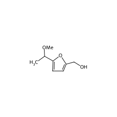 COC(C)c1ccc(CO)o1